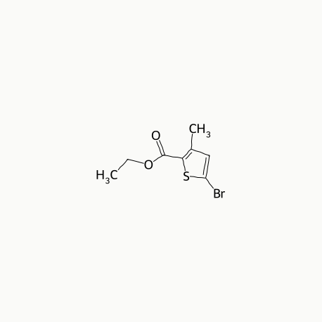 CCOC(=O)c1sc(Br)cc1C